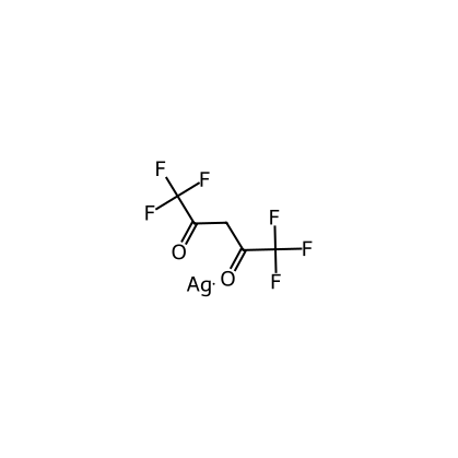 O=C(CC(=O)C(F)(F)F)C(F)(F)F.[Ag]